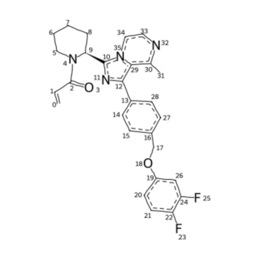 C=CC(=O)N1CCCC[C@H]1c1nc(-c2ccc(COc3ccc(F)c(F)c3)cc2)c2c(C)nccn12